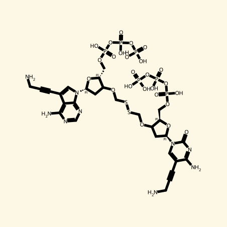 NCC#Cc1cn([C@H]2CC(OCSSCOC3C[C@H](n4cc(C#CCN)c5c(N)ncnc54)O[C@@H]3COP(=O)(O)OP(=O)(O)OP(=O)(O)O)[C@@H](COP(=O)(O)OP(=O)(O)OP(=O)(O)O)O2)c(=O)nc1N